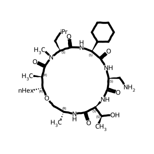 CCCCCC[C@H]1OC[C@@H](C)NC(=O)[C@H]([C@H](C)O)NC(=O)[C@H](CN)NC(=O)[C@H](C2CCCCC2)NC(=O)[C@H](CC(C)C)N(C)C(=O)[C@@H]1C